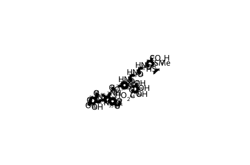 CSC(C[SH]1CC1)C(CC(=O)NCCC(=O)NCCC(=O)Nc1cc(COC(=O)NCc2c3c(nc4cc5c(cc24)OCO5)-c2cc4c(c(=O)n2C3)COC(=O)[C@H]4O)ccc1O[C@@H]1OC(C(=O)O)[C@@H](O)C(O)C1O)C(=O)O